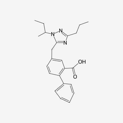 CCCc1nc(Cc2ccc(-c3ccccc3)c(C(=O)O)c2)n(C(C)CC)n1